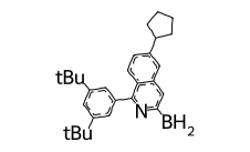 Bc1cc2cc(C3CCCC3)ccc2c(-c2cc(C(C)(C)C)cc(C(C)(C)C)c2)n1